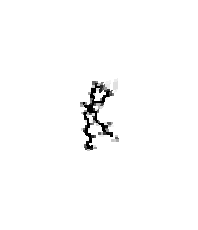 CCCCCCC(C)(CCCCC)C1CCNCC1